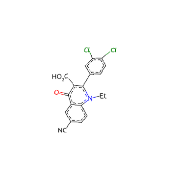 CCn1c(-c2ccc(Cl)c(Cl)c2)c(C(=O)O)c(=O)c2cc(C#N)ccc21